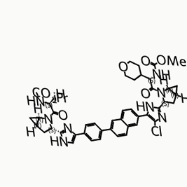 COC(=O)N[C@H](C(=O)N1[C@@H]2C[C@@H]2C[C@H]1c1nc(Cl)c(-c2ccc3cc(-c4ccc(-c5c[nH]c([C@@H]6C[C@H]7C[C@H]7N6C(=O)[C@@H](NC(=O)O)C(C)C)n5)cc4)ccc3c2)[nH]1)C1CCOCC1